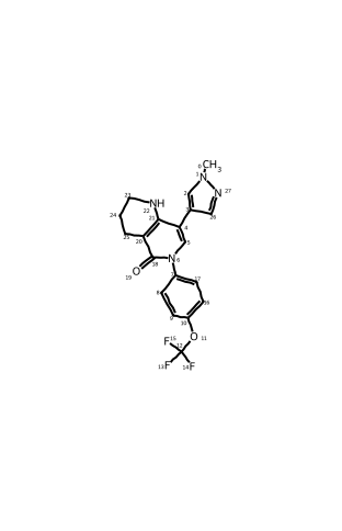 Cn1cc(-c2cn(-c3ccc(OC(F)(F)F)cc3)c(=O)c3c2NCCC3)cn1